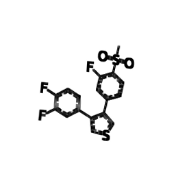 CS(=O)(=O)c1ccc(-c2cscc2-c2ccc(F)c(F)c2)cc1F